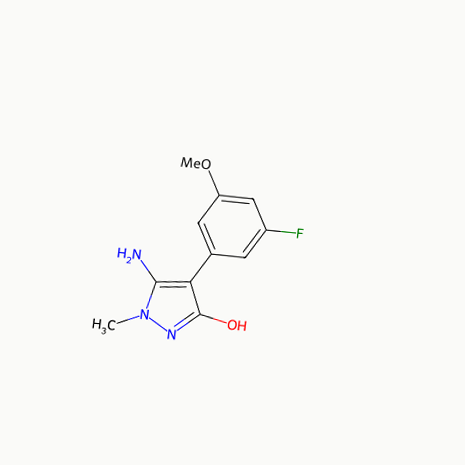 COc1cc(F)cc(-c2c(O)nn(C)c2N)c1